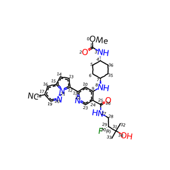 COC(=O)N[C@H]1CC[C@H](Nc2cc(-c3ccc4cc(C#N)cnn34)ncc2C(=O)NC[C@@H](F)C(C)(C)O)CC1